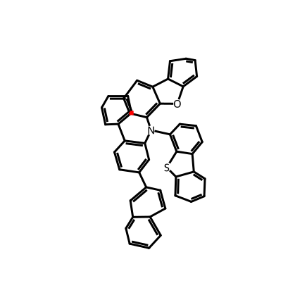 c1ccc(-c2ccc(-c3ccc4ccccc4c3)cc2N(c2cccc3c2oc2ccccc23)c2cccc3c2sc2ccccc23)cc1